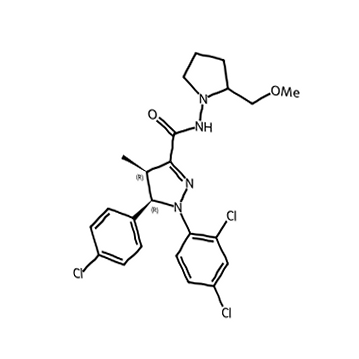 COCC1CCCN1NC(=O)C1=NN(c2ccc(Cl)cc2Cl)[C@@H](c2ccc(Cl)cc2)[C@H]1C